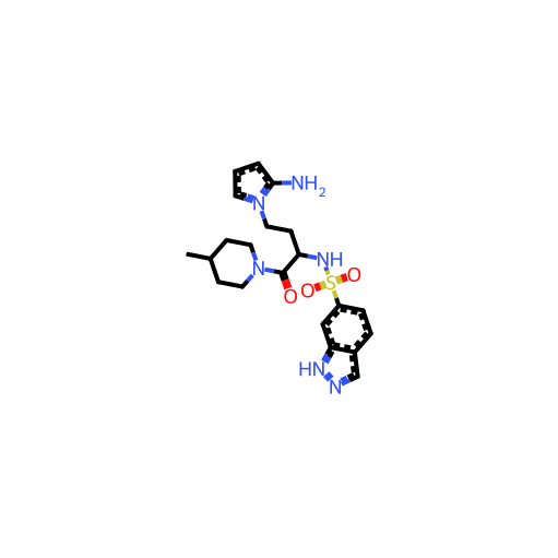 CC1CCN(C(=O)C(CCn2cccc2N)NS(=O)(=O)c2ccc3cn[nH]c3c2)CC1